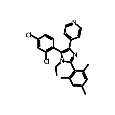 CCn1c(-c2c(C)cc(C)cc2C)nc(-c2ccncc2)c1-c1ccc(Cl)cc1Cl